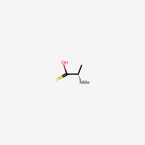 CN[C@@H](C)C(O)=S